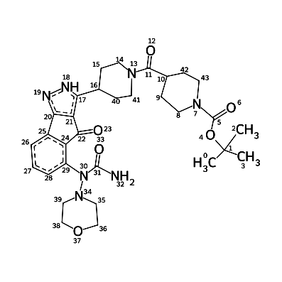 CC(C)(C)OC(=O)N1CCC(C(=O)N2CCC(c3[nH]nc4c3C(=O)c3c-4cccc3N(C(N)=O)N3CCOCC3)CC2)CC1